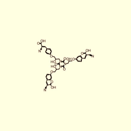 N#C/C(=C/c1ccc(OCC(O)Cn2c(=O)n(CC(O)COc3ccc(/C=C(/C#N)C(=O)O)cc3)c(=O)n(CC(O)COc3ccc(/C=C(\C#N)C(=O)O)cc3)c2=O)cc1)C(=O)O